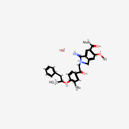 Br.CCOc1cc2c(cc1C(=O)NC)C(=N)N(CC(=O)c1ccc(OC(Cc3ccccc3)C(=O)O)c(C(C)(C)C)c1)C2